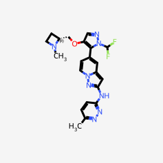 Cc1ccc(Nc2cc3cc(-c4c(OC[C@H]5CCN5C)cnn4C(F)F)ccn3n2)nn1